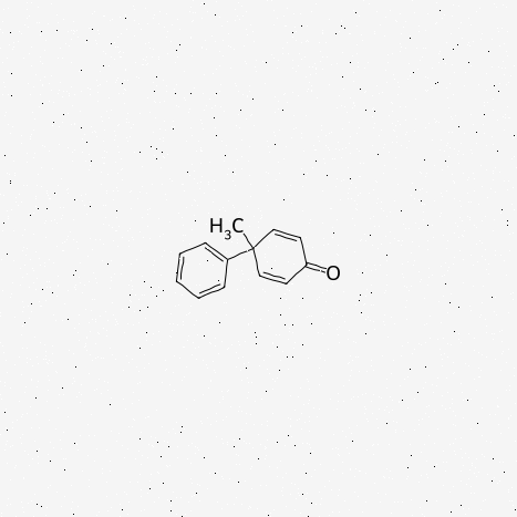 CC1(c2ccccc2)C=CC(=O)C=C1